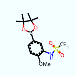 COc1ccc(B2OC(C)(C)C(C)(C)O2)cc1NS(=O)(=O)C(F)(F)F